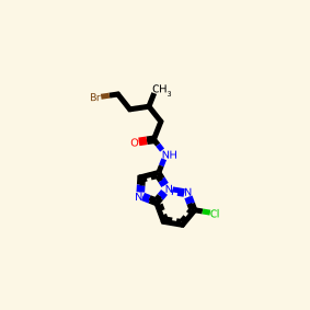 CC(CCBr)CC(=O)Nc1cnc2ccc(Cl)nn12